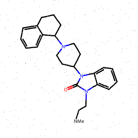 CNCCn1c(=O)n(C2CCN(C3CCCc4ccccc43)CC2)c2ccccc21